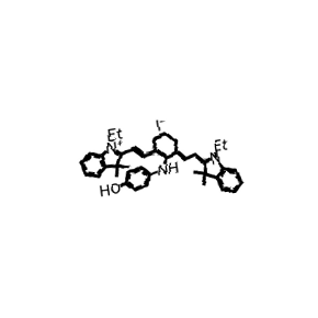 CCN1/C(=C/C=C2\CCCC(/C=C/C3=[N+](CC)c4ccccc4C3(C)C)=C2Nc2ccc(O)cc2)C(C)(C)c2ccccc21.[I-]